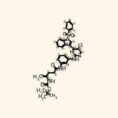 C=C(CCC(=O)Nc1cccc(Nc2ncc(Cl)c(-c3cn(S(=O)(=O)c4ccccc4)c4ccccc34)n2)c1)NC(=O)OC(C)(C)C